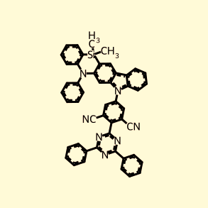 C[Si]1(C)c2ccccc2N(c2ccccc2)c2cc3c(cc21)c1ccccc1n3-c1cc(C#N)c(-c2nc(-c3ccccc3)nc(-c3ccccc3)n2)c(C#N)c1